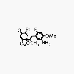 CC[C@H]1C[C@]2([C@@H](C)Cc3cc(N)c(OC)cc3F)OCOC2=CC1=O